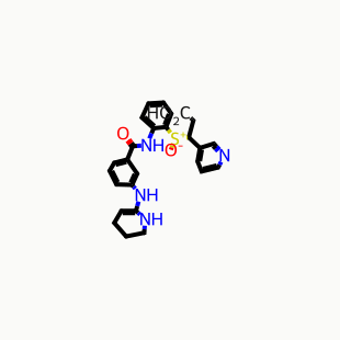 O=C(O)CC(c1cccnc1)[S+]([O-])c1ccccc1NC(=O)c1cccc(NC2=CCCCN2)c1